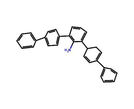 Nc1c(-c2ccc(-c3ccccc3)cc2)cccc1C1C=CC(c2ccccc2)=CC1